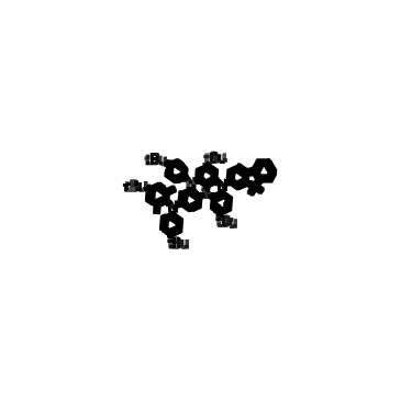 Cc1cc(C(C)(C)C)cc(C)c1N(c1ccc(C(C)(C)C)cc1)c1ccc2c(c1)N(c1ccc(C(C)(C)C)cc1)c1cc(C(C)(C)C)cc3c1B2c1cc(C(C)(C)C)ccc1N3c1ccc2c(c1)C(C)(C)c1ccccc1-2